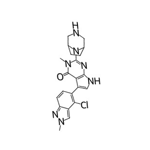 Cn1cc2c(Cl)c(-c3c[nH]c4nc(N5C6CCC5CNC6)n(C)c(=O)c34)ccc2n1